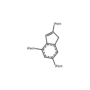 CCCC(C)C1=Cc2c(cc(C(C)CCC)cc2C(C)CCC)C1